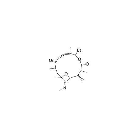 CCC1OC(=O)C(C)C(=O)C2OC(C)(CC(C)C(=O)C=C=C1C)/C2=N\C